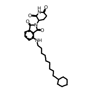 O=C1CCC(N2C(=O)c3cccc(NCCCCCCCCCC4CCCCC4)c3C2=O)C(=O)N1